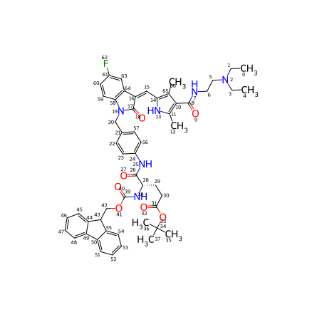 CCN(CC)CCNC(=O)c1c(C)[nH]c(/C=C2\C(=O)N(Cc3ccc(NC(=O)[C@H](CCC(=O)OC(C)(C)C)NC(=O)OCC4c5ccccc5-c5ccccc54)cc3)c3ccc(F)cc32)c1C